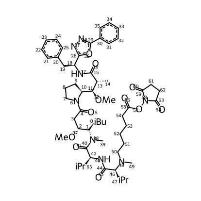 CC[C@H](C)[C@@H]([C@@H](CC(=O)N1CCC[C@H]1[C@H](OC)[C@@H](C)C(=O)N[C@@H](Cc1ccccc1)c1nnc(-c2ccccc2)o1)OC)N(C)C(=O)[C@@H](NC(=O)[C@H](C(C)C)N(C)CCCCCC(=O)ON1C(=O)CCC1=O)C(C)C